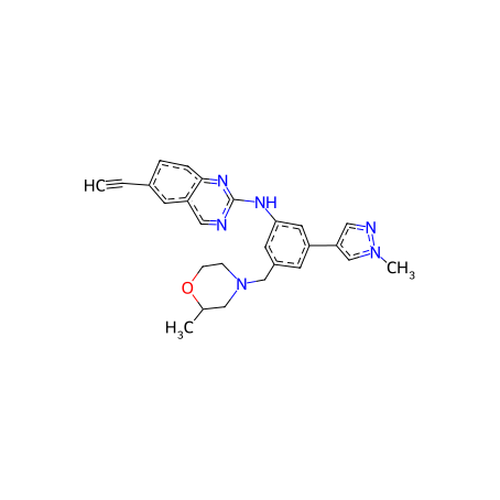 C#Cc1ccc2nc(Nc3cc(CN4CCOC(C)C4)cc(-c4cnn(C)c4)c3)ncc2c1